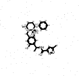 Cc1cc(C(=O)NC(C)c2cc(F)c(CN3[C@@H](C)CC[C@H](c4ccccc4)S3(=O)=O)cc2F)no1